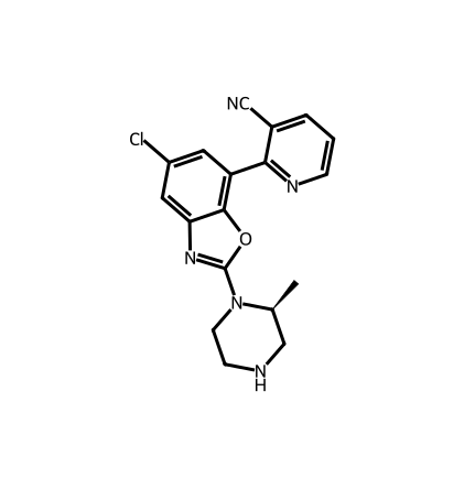 C[C@H]1CNCCN1c1nc2cc(Cl)cc(-c3ncccc3C#N)c2o1